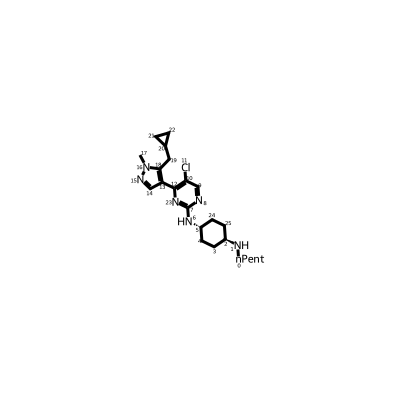 CCCCCN[C@H]1CC[C@H](Nc2ncc(Cl)c(-c3cnn(C)c3CC3CC3)n2)CC1